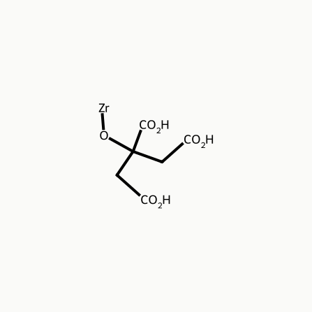 O=C(O)CC(CC(=O)O)([O][Zr])C(=O)O